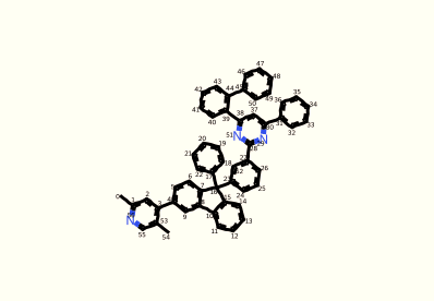 Cc1cc(-c2ccc3c(c2)-c2ccccc2C3(c2ccccc2)c2cccc(-c3nc(-c4ccccc4)cc(-c4ccccc4-c4ccccc4)n3)c2)c(C)cn1